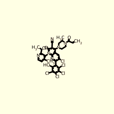 C=CC(=O)N1CCN(c2c(C#N)c(=O)n(-c3c(C)ccnc3C(C)C)c3nc(-c4c(O)c(Cl)c(Cl)c(Cl)c4Cl)c(Cl)cc23)C[C@H]1C